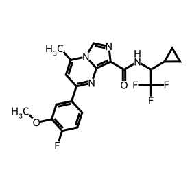 COc1cc(-c2cc(C)n3cnc(C(=O)NC(C4CC4)C(F)(F)F)c3n2)ccc1F